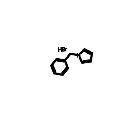 Br.c1ccc(Cn2cccc2)cc1